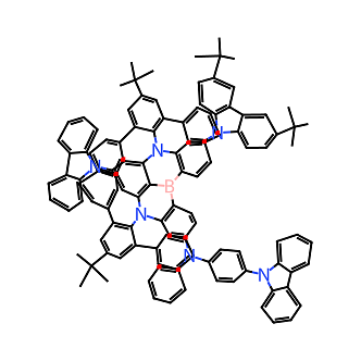 CC(C)(C)c1cc(-c2ccccc2)c(N2c3cc(N(c4ccccc4)c4ccc(-n5c6ccccc6c6ccccc65)cc4)ccc3B3c4ccc(-n5c6ccc(C(C)(C)C)cc6c6cc(C(C)(C)C)ccc65)cc4N(c4c(-c5ccccc5)cc(C(C)(C)C)cc4-c4ccccc4)c4cc(-n5c6ccccc6c6ccccc65)cc2c43)c(-c2ccccc2)c1